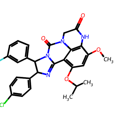 COc1cc(OC(C)C)c2c3c1NC(=O)CN3C(=O)N1C2=NC(c2ccc(Cl)cc2)C1c1cccc(F)c1